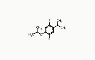 CC(C)Oc1cc(F)c(C(C)C)cc1F